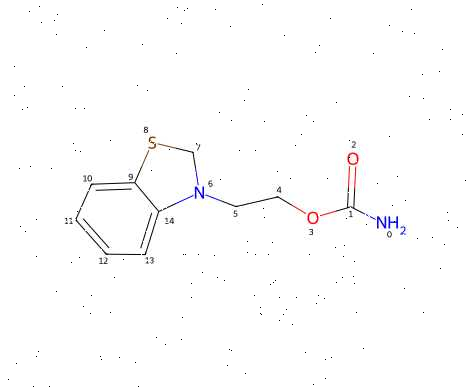 NC(=O)OCCN1CSc2ccccc21